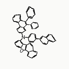 c1ccc(-c2c(-c3ccccc3)c3cc(N(c4ccc(-c5ccc6ccccc6c5)cc4)c4cccc5oc6c7ccccc7ccc6c45)ccc3c3ccccc23)cc1